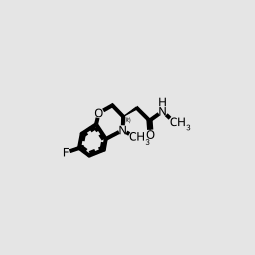 CNC(=O)C[C@@H]1COc2cc(F)ccc2N1C